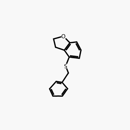 c1ccc(CSc2cccc3c2CCO3)cc1